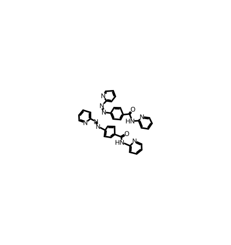 O=C(Nc1ccccn1)c1ccc(/N=N/c2ccccn2)cc1.O=C(Nc1ccccn1)c1ccc(/N=N\c2ccccn2)cc1